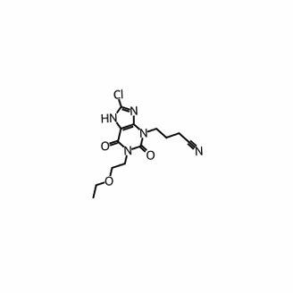 CCOCCn1c(=O)c2[nH]c(Cl)nc2n(CCCC#N)c1=O